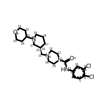 O=C(Nc1ccc(Cl)c(Cl)c1)N1CCN(C[C@@H]2CCCN(C3CCOCC3)C2)CC1